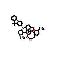 C=C1/C=C(C(C)(C)C)\C=C/Cc2ccc(C(C)(C)C)cc2C12c1ccccc1-c1ccc(N(c3ccc4c(c3)C(C)(C)c3ccccc3-4)c3ccccc3-c3ccccc3)cc12